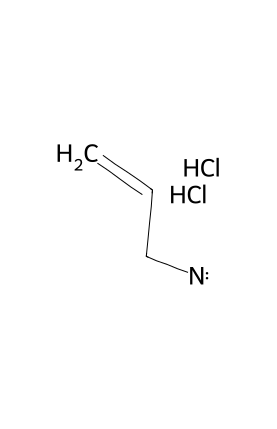 C=CC[N].Cl.Cl